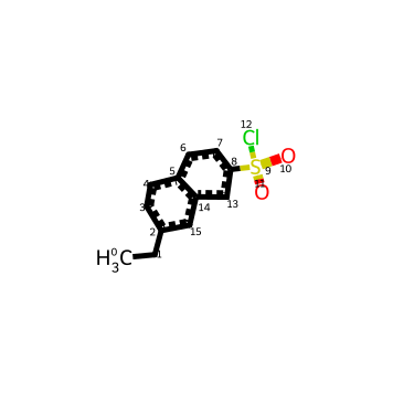 CCc1ccc2ccc(S(=O)(=O)Cl)cc2c1